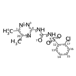 Cc1nnc(NC(=O)NS(=O)(=O)c2ccccc2Cl)nc1C